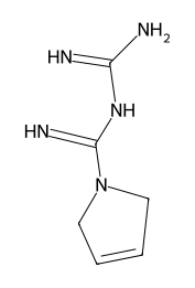 N=C(N)NC(=N)N1CC=CC1